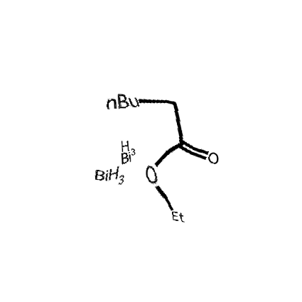 CCCCCC(=O)OCC.[BiH3].[BiH3]